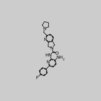 Nc1ccc(-c2ccc(F)cc2)nc1NC(=O)N1Cc2ccc(CN3CCCC3)nc2C1